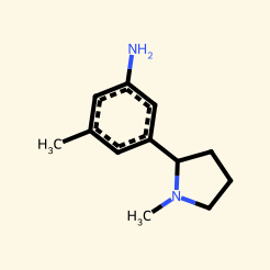 Cc1cc(N)cc(C2CCCN2C)c1